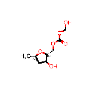 C[C@H]1CC(O)[C@@H](COC(=O)OCO)O1